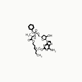 CCCCCCOC(=O)[C@H](C)NP(=O)(OC[C@@H]1CC(O)[C@H](n2cnc3c(N)nc(OC)nc32)O1)Oc1ccccc1